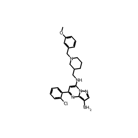 Bc1cnn2c(NCC3CCCN(Cc4cccc(OC)c4)C3)cc(-c3ccccc3Cl)nc12